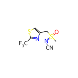 CS(=O)(Cc1csc(C(F)(F)F)n1)=NC#N